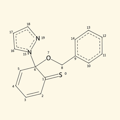 S=C1C=CC=CC1(OCc1ccccc1)n1cccn1